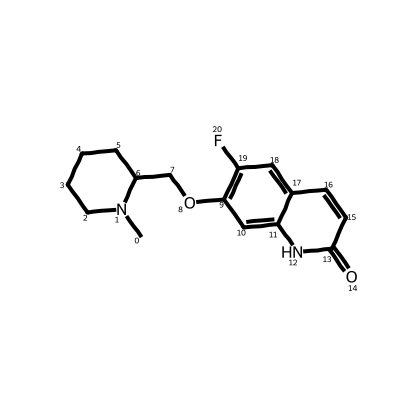 CN1CCCCC1COc1cc2[nH]c(=O)ccc2cc1F